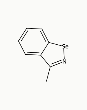 Cc1n[se]c2ccccc12